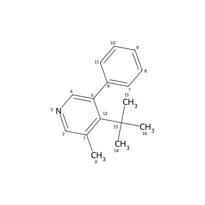 Cc1cncc(-c2ccccc2)c1C(C)(C)C